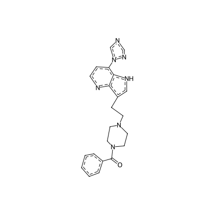 O=C(c1ccccc1)N1CCN(CCc2c[nH]c3c(-n4cncn4)ccnc23)CC1